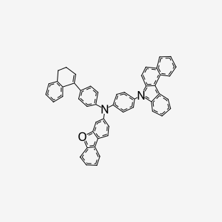 C1=C(c2ccc(N(c3ccc(-n4c5ccccc5c5c6ccccc6ccc54)cc3)c3ccc4c(c3)oc3ccccc34)cc2)c2ccccc2CC1